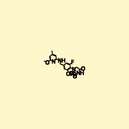 COc1cc(C)cc(NCc2cc(O)c(N3CC(=O)NS3(=O)=O)c(F)c2)n1